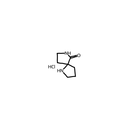 Cl.O=C1NCCC12CCCN2